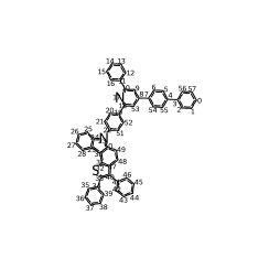 c1ccc(-c2ccc(-c3cc(-c4ccccc4)nc(-c4ccc(-n5c6ccccc6c6c7sc(-c8ccccc8)c(-c8ccccc8)c7ccc65)cc4)c3)cc2)cc1